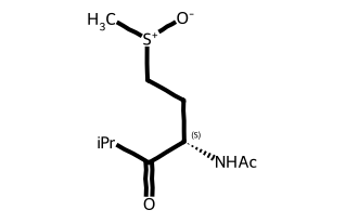 CC(=O)N[C@@H](CC[S+](C)[O-])C(=O)C(C)C